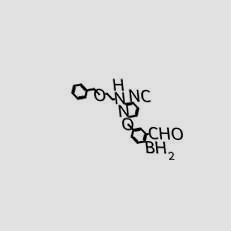 Bc1ccc(Oc2ccc([N+]#[C-])c(NCCOCc3ccccc3)n2)cc1C=O